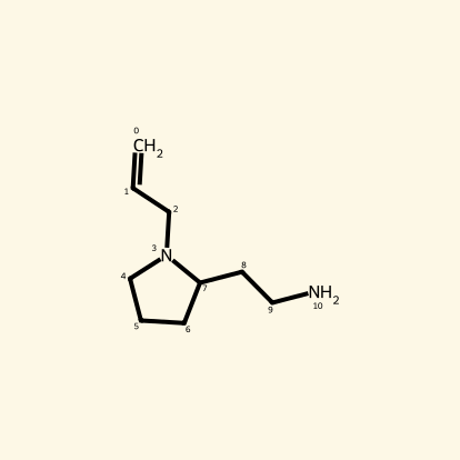 C=CCN1CCCC1CCN